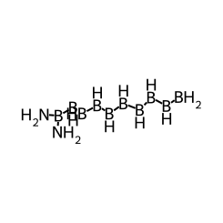 BBBBBBBBBB(N)N